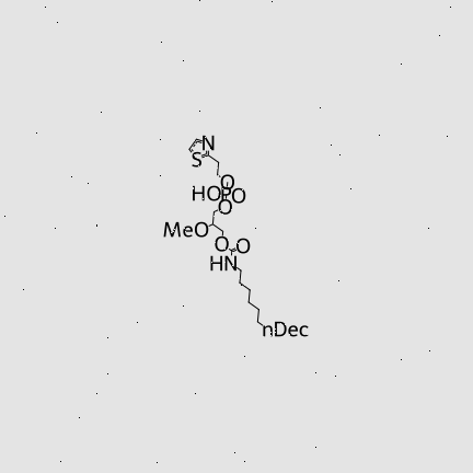 CCCCCCCCCCCCCCCCNC(=O)OCC(COP(=O)(O)OCCc1nccs1)OC